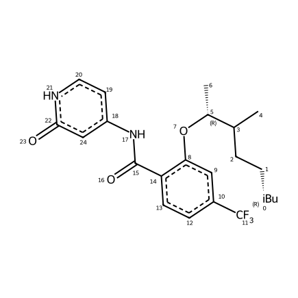 CC[C@@H](C)CCC(C)[C@@H](C)Oc1cc(C(F)(F)F)ccc1C(=O)Nc1cc[nH]c(=O)c1